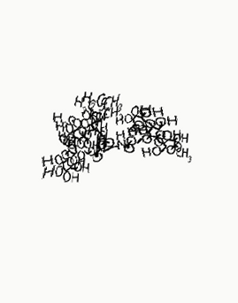 C=S(C)CC(C)C(=O)N(CNC)c1c(NCNC(=O)OC(CNC(=O)OCCOC2C(OC3C(CO)OC(OC)C(O)C3O)OC(CO)C(OC3OC(CO)C(O)C(O)C3O)C2O)CNC(=O)OCCOC2C(OC3C(CO)OC(OC)C(O)C3O)OC(CO)C(OC3OC(CO)C(O)C(O)C3O)C2O)c(=O)c1=O